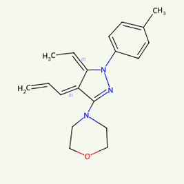 C=C/C=c1/c(N2CCOCC2)nn(-c2ccc(C)cc2)/c1=C/C